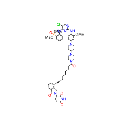 COc1cc(N2CCC(N3CCN(C(=O)CCCCCCC#Cc4cccc5c4CN(C4CCC(=O)NC4=O)C5=O)CC3)CC2)ccc1Nc1ncc(Cl)c(Nc2ccccc2P(=O)(OC)OC)n1